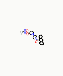 O=C(NCC(F)(F)F)O[C@@H]1CCCN(C2CCN(C(=O)c3c4ccccc4cc4ccccc34)CC2)C1